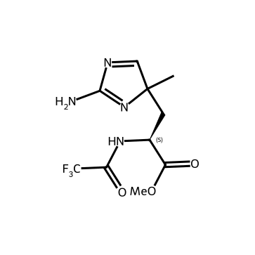 COC(=O)[C@H](CC1(C)C=NC(N)=N1)NC(=O)C(F)(F)F